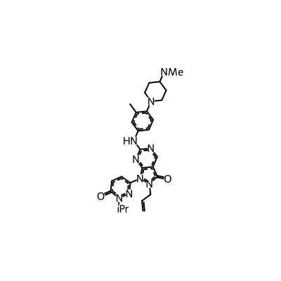 C=CCn1c(=O)c2cnc(Nc3ccc(N4CCC(NC)CC4)c(C)c3)nc2n1-c1ccc(=O)n(C(C)C)n1